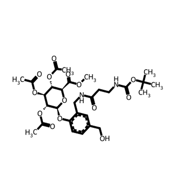 COC(=O)[C@H]1O[C@@H](Oc2ccc(CO)cc2CNC(=O)CCNC(=O)OC(C)(C)C)[C@H](OC(C)=O)[C@@H](OC(C)=O)[C@@H]1OC(C)=O